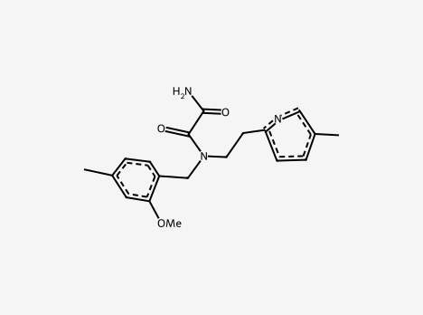 COc1cc(C)ccc1CN(CCc1ccc(C)cn1)C(=O)C(N)=O